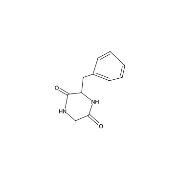 O=C1[CH]NC(=O)C(Cc2ccccc2)N1